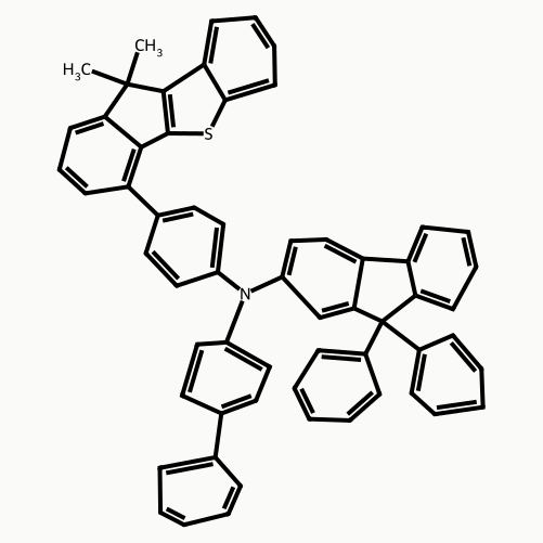 CC1(C)c2cccc(-c3ccc(N(c4ccc(-c5ccccc5)cc4)c4ccc5c(c4)C(c4ccccc4)(c4ccccc4)c4ccccc4-5)cc3)c2-c2sc3ccccc3c21